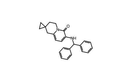 O=c1c(NC(c2ccccc2)c2ccccc2)ccc2n1CCC1(CC1)C2